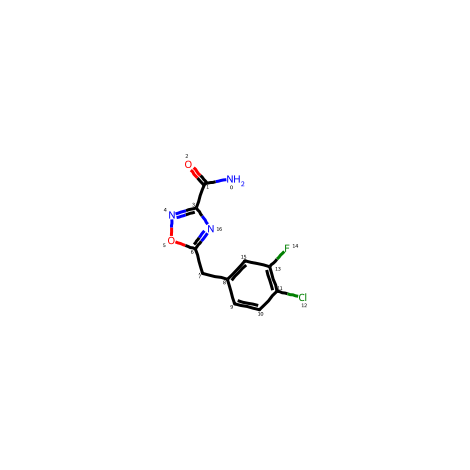 NC(=O)c1noc([CH]c2ccc(Cl)c(F)c2)n1